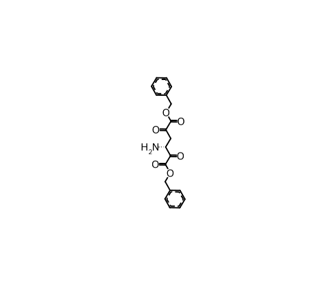 N[C@H](CC(=O)C(=O)OCc1ccccc1)C(=O)C(=O)OCc1ccccc1